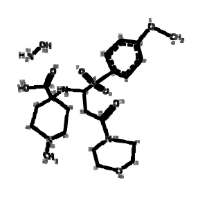 COc1ccc(S(=O)(=O)C(CC(=O)N2CCOCC2)NC2(C(=O)O)CCN(C)CC2)cc1.NO